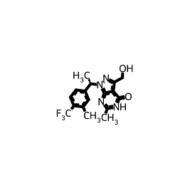 Cc1nc2c(c(CO)nn2[C@H](C)c2ccc(C(F)(F)F)c(C)c2)c(=O)[nH]1